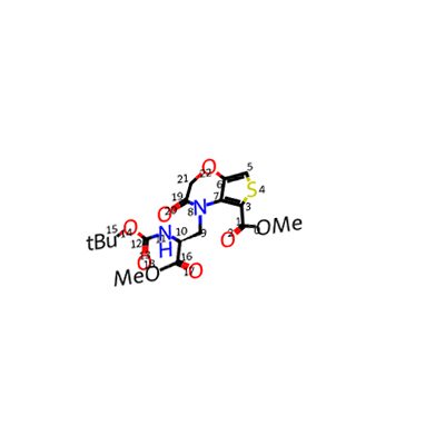 COC(=O)c1scc2c1N(C[C@H](NC(=O)OC(C)(C)C)C(=O)OC)C(=O)CO2